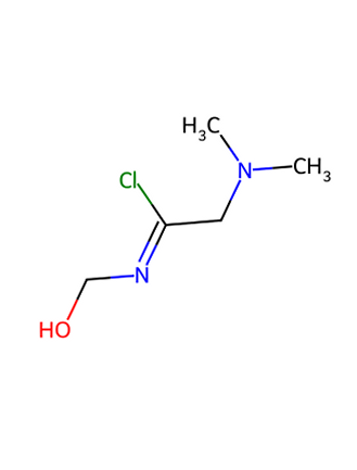 CN(C)CC(Cl)=NCO